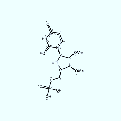 CO[C@@H]1[C@H](OC)[C@H](n2ccc(=O)[nH]c2=O)O[C@@H]1COP(=O)(O)O